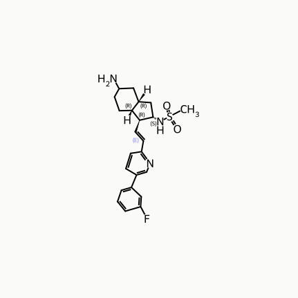 CS(=O)(=O)N[C@H]1C[C@H]2CC(N)CC[C@H]2[C@@H]1/C=C/c1ccc(-c2cccc(F)c2)cn1